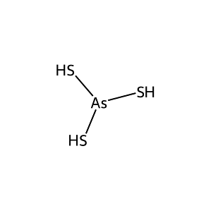 S[As](S)S